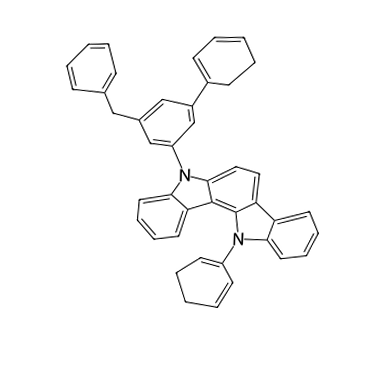 C1=CCCC(c2cc(Cc3ccccc3)cc(-n3c4ccccc4c4c5c(ccc43)c3ccccc3n5C3=CCCC=C3)c2)=C1